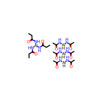 CC(=O)[NH][AlH][NH]C(C)=O.CC(=O)[NH][AlH][NH]C(C)=O.CC(=O)[NH][AlH][NH]C(C)=O.CCC(=O)[NH][Al]([NH]C(=O)CC)[NH]C(=O)CC